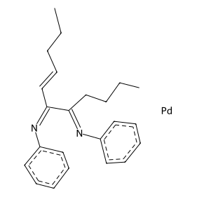 CCCC=CC(=Nc1ccccc1)C(CCCC)=Nc1ccccc1.[Pd]